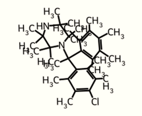 Cc1c(C)c(C)c(C(C)(c2c(C)c(C)c(Cl)c(C)c2C)N2C(C)(C)C(C)(C)NC(C)(C)C2(C)C)c(C)c1C